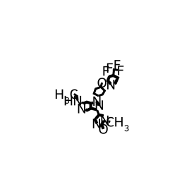 CCNc1cc2c(cn1)c(-c1cnc(=O)n(C)c1)nn2C1CCC(Oc2nccc(C(F)(F)F)c2F)CC1